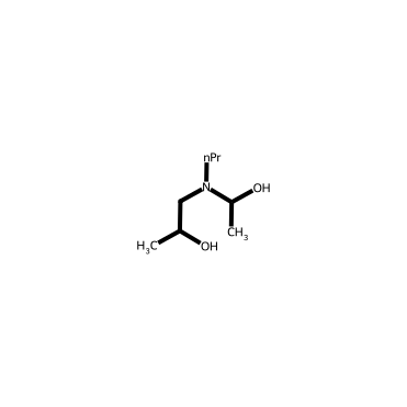 CCCN(CC(C)O)C(C)O